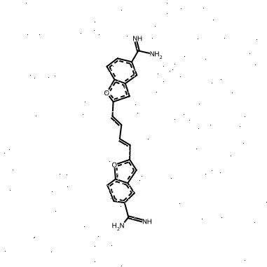 N=C(N)c1ccc2oc(/C=C/C=C/c3cc4cc(C(=N)N)ccc4o3)cc2c1